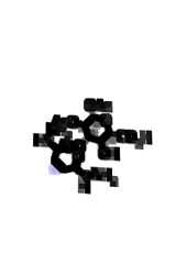 CC(=O)O[C@@H]1O[C@H](C(=O)O)[C@@H](O)[C@H](OC(C)=O)[C@H]1OC(C)=O.NNC(=O)/C=C\C(=O)NN